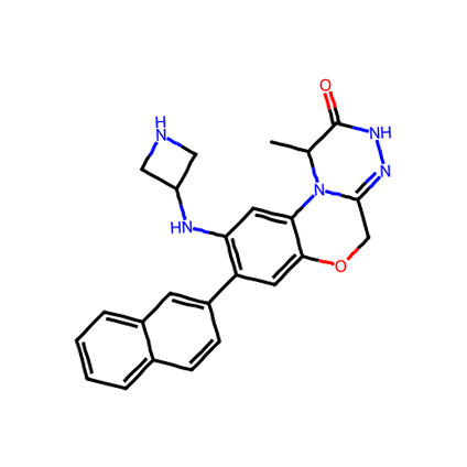 CC1C(=O)NN=C2COc3cc(-c4ccc5ccccc5c4)c(NC4CNC4)cc3N21